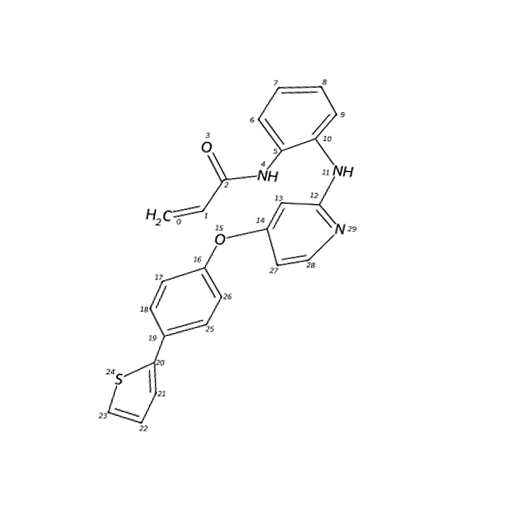 C=CC(=O)Nc1ccccc1Nc1cc(Oc2ccc(-c3cccs3)cc2)ccn1